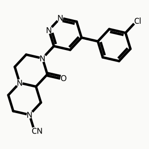 N#CN1CCN2CCN(c3cc(-c4cccc(Cl)c4)cnn3)C(=O)C2C1